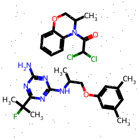 CC1COc2ccccc2N1C(=O)C(Cl)Cl.Cc1cc(C)cc(OCC(C)Nc2nc(N)nc(C(C)(C)F)n2)c1